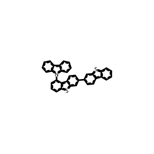 c1ccc2c(c1)sc1cc(-c3ccc4c(c3)sc3cccc(-n5c6ccccc6c6ccccc65)c34)ccc12